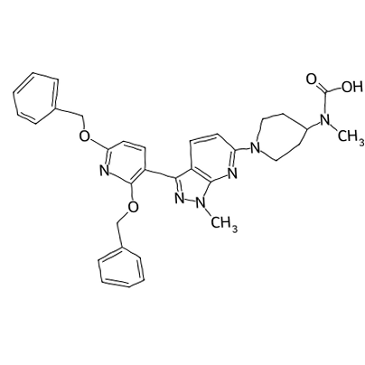 CN(C(=O)O)C1CCN(c2ccc3c(-c4ccc(OCc5ccccc5)nc4OCc4ccccc4)nn(C)c3n2)CC1